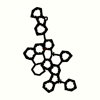 c1ccc(-n2c3ccccc3c3ccc(-c4ccccc4N(c4ccc(-c5ccc6c(c5)oc5ccccc56)cc4)c4ccccc4-c4cccc5cccc(C6CCCCC6)c45)cc32)cc1